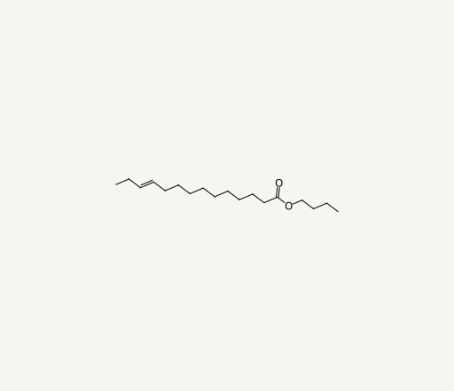 CCC=CCCCCCCCCCC(=O)OCCCC